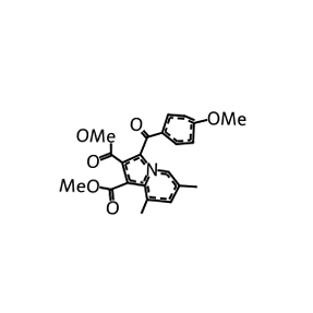 COC(=O)c1c(C(=O)OC)c2c(C)cc(C)cn2c1C(=O)c1ccc(OC)cc1